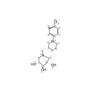 O[C@H]1[C@H](O)CN(C[C@H]2CCCN(c3ccc(C(F)(F)F)nc3)C2)C[C@@H]1O